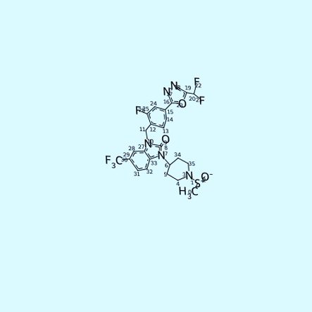 C[S+]([O-])N1CCC(n2c(=O)n(Cc3ccc(-c4nnc(C(F)F)o4)cc3F)c3cc(C(F)(F)F)ccc32)CC1